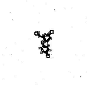 ClCc1cc(Cl)ccc1Oc1ccc(Cl)cc1